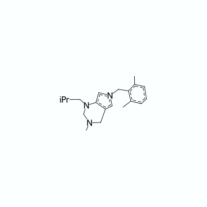 Cc1cccc(C)c1Cn1cc2c(c1)N(CC(C)C)CN(C)C2